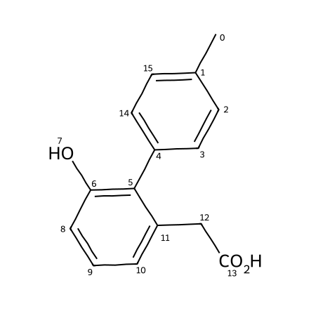 Cc1ccc(-c2c(O)cccc2CC(=O)O)cc1